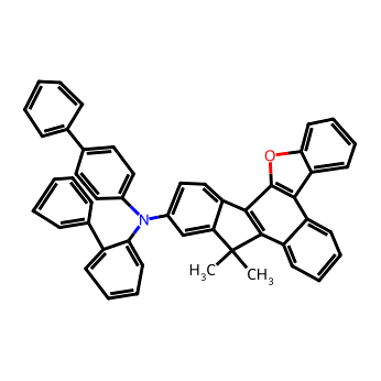 CC1(C)c2cc(N(c3ccc(-c4ccccc4)cc3)c3ccccc3-c3ccccc3)ccc2-c2c1c1ccccc1c1c2oc2ccccc21